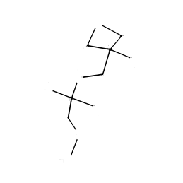 CCCC(C)OCC(CC)(CC)OCC1(CC)COC1